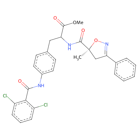 COC(=O)C(Cc1ccc(NC(=O)c2c(Cl)cccc2Cl)cc1)NC(=O)[C@]1(C)CC(c2ccccc2)=NO1